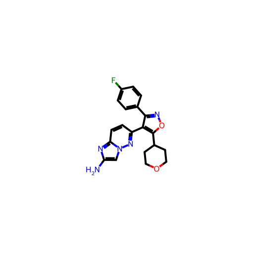 Nc1cn2nc(-c3c(-c4ccc(F)cc4)noc3C3CCOCC3)ccc2n1